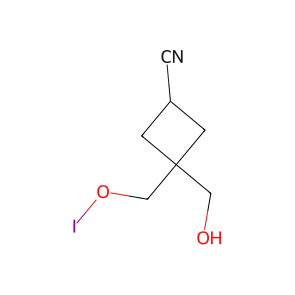 N#CC1CC(CO)(COI)C1